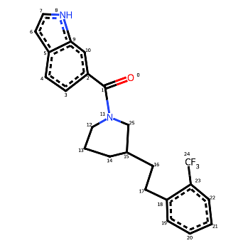 O=C(c1ccc2cc[nH]c2c1)N1CCCC(CCc2ccccc2C(F)(F)F)C1